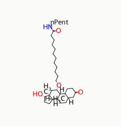 CCCCCNC(=O)CCCCCCCCCCCO[C@H]1C[C@]2(C)[C@@H](O)CC[C@H]2[C@@H]2CC[C@H]3CC(=O)CC[C@]3(C)[C@H]21